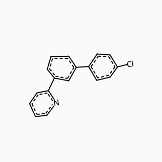 Clc1ccc(-c2cccc(-c3ccccn3)c2)cc1